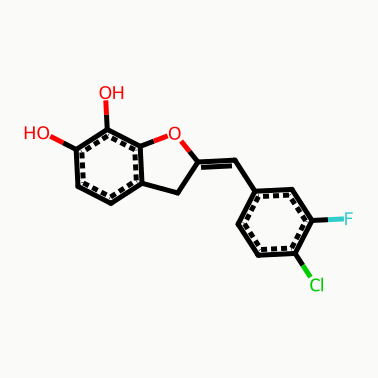 Oc1ccc2c(c1O)OC(=Cc1ccc(Cl)c(F)c1)C2